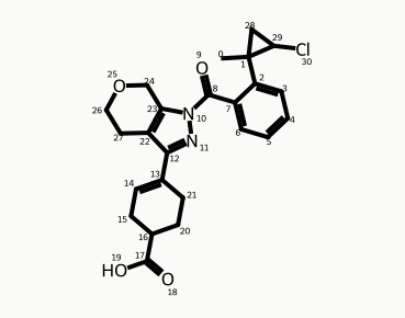 CC1(c2ccccc2C(=O)n2nc(C3=CCC(C(=O)O)CC3)c3c2COCC3)CC1Cl